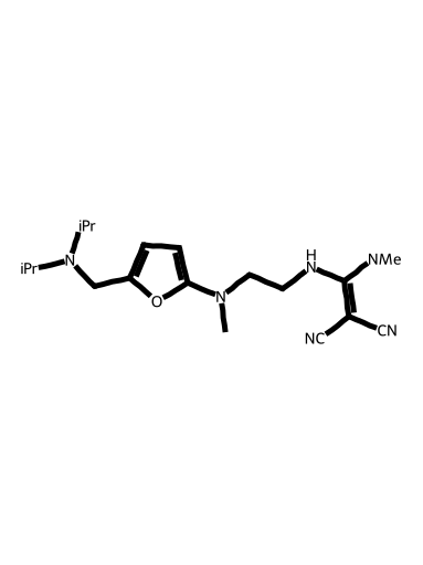 CNC(NCCN(C)c1ccc(CN(C(C)C)C(C)C)o1)=C(C#N)C#N